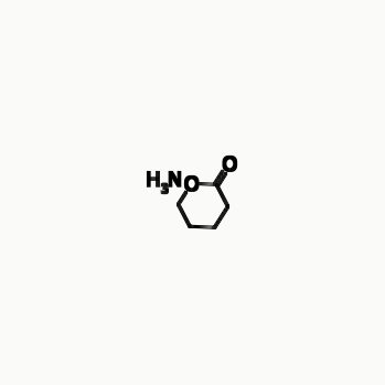 N.O=C1CCCCO1